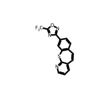 FC(F)(F)c1nc(-c2ccc3c(c2)Sc2ncccc2C=C3)no1